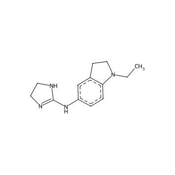 CCN1CCc2cc(NC3=NCCN3)ccc21